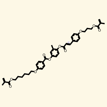 C=C(C)C(=O)OCCCCCCOc1ccc(C(=O)Oc2ccc(OC(=O)/C=C/c3ccc(OCCCOC(=O)C(=C)C)cc3)c(C)c2)cc1